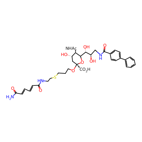 CC(=O)N[C@H]1C([C@H](O)[C@H](O)CNC(=O)c2ccc(-c3ccccc3)cc2)O[C@@](OCCCSCCNC(=O)/C=C/C=C/C(N)=O)(C(=O)O)C[C@@H]1O